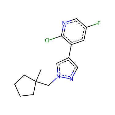 CC1(Cn2cc(-c3cc(F)cnc3Cl)cn2)CCCC1